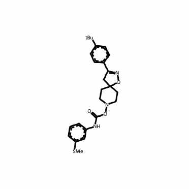 CSc1cccc(NC(=O)ON2CCC3(CC2)CC(c2ccc(C(C)(C)C)cc2)=NO3)c1